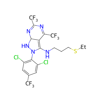 CCSCCCNC1=C2C(C(F)(F)F)=NC(C(F)(F)F)=NC2NN1c1c(Cl)cc(C(F)(F)F)cc1Cl